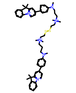 CN(CCC[N+](C)(C)CCSSCC[N+](C)(C)CCCN(C)c1ccc(-c2cc[n+]3c(c2)C(C)(C)c2ccccc2-3)cc1)c1ccc(-c2cc[n+]3c(c2)C(C)(C)c2ccccc2-3)cc1